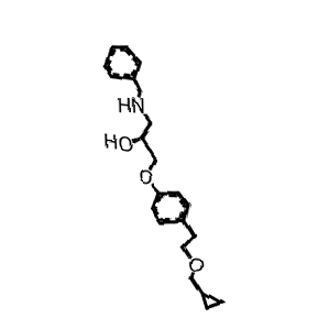 O[C@@H](CNCc1ccccc1)COc1ccc(CCOCC2CC2)cc1